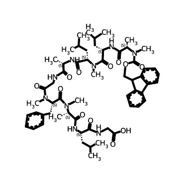 CC(C)C[C@H](NC(=O)[C@H](C)N(C)C(=O)[C@H](Cc1ccccc1)N(C)C(=O)CNC(=O)[C@H](C)NC(=O)[C@H](CC(C)C)N(C)C(=O)[C@H](CC(C)C)NC(=O)[C@H](C)N(C)C(=O)OCC1c2ccccc2-c2ccccc21)C(=O)NCC(=O)O